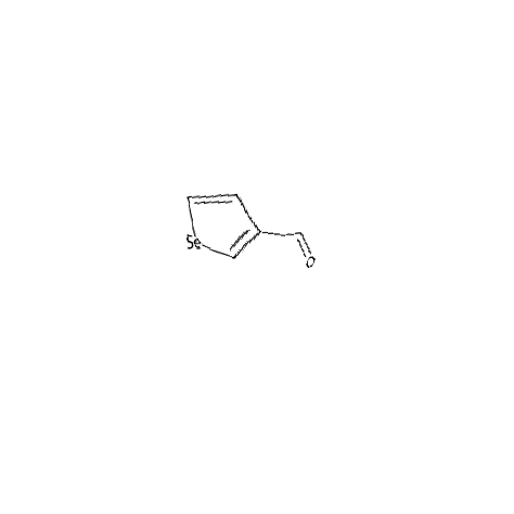 O=Cc1cc[se]c1